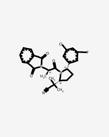 C[C@H](C(=O)N1[C@H](c2cc(F)cc(Cl)c2)CC[C@@H]1C(C)(C)C#N)N1C(=O)c2ccccc2C1=O